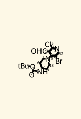 CC(C)(C)OC(=O)NC1CCN(c2c(Br)cnc(Cl)c2C=O)CC1